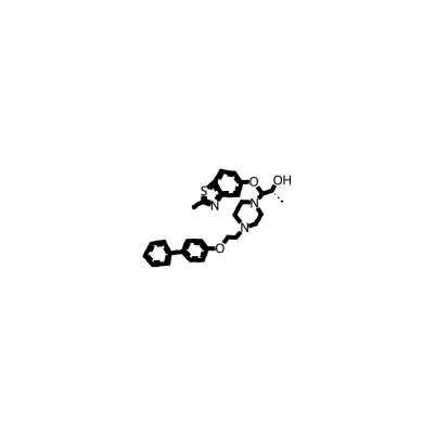 Cc1nc2cc(OC([C@@H](C)O)N3CCN(CCOc4ccc(-c5ccccc5)cc4)CC3)ccc2s1